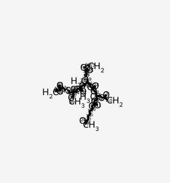 C=CC(=O)OCC(C)(COC(=O)OCCCCCC(C)=O)COC(=O)OCC(C)(COC(=O)OCC(C)(COC)CSCCS(=O)(=O)C=C)CSCCS(=O)(=O)C=C